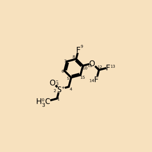 CC[S+]([O-])Cc1ccc(F)c(OC(F)F)c1